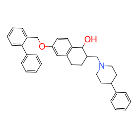 OC1c2ccc(OCc3ccccc3-c3ccccc3)cc2CCC1CN1CCC(c2ccccc2)CC1